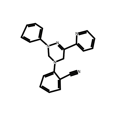 N#Cc1ccccc1N1CC(c2ccccn2)=NN(c2ccccc2)C1